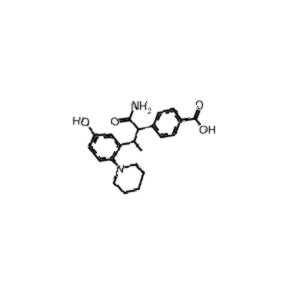 CC(c1cc(O)ccc1N1CCCCC1)C(C(N)=O)c1ccc(C(=O)O)cc1